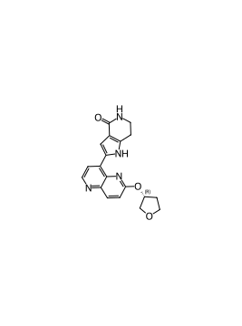 O=C1NCCc2[nH]c(-c3ccnc4ccc(O[C@@H]5CCOC5)nc34)cc21